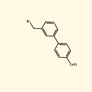 O=Cc1ccc(-c2cccc(CBr)c2)cc1